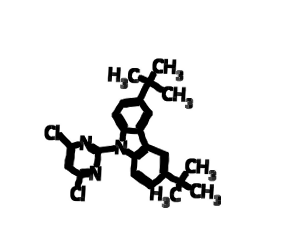 CC(C)(C)c1ccc2c(c1)c1cc(C(C)(C)C)ccc1n2-c1nc(Cl)cc(Cl)n1